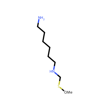 COSCNCCCCCCN